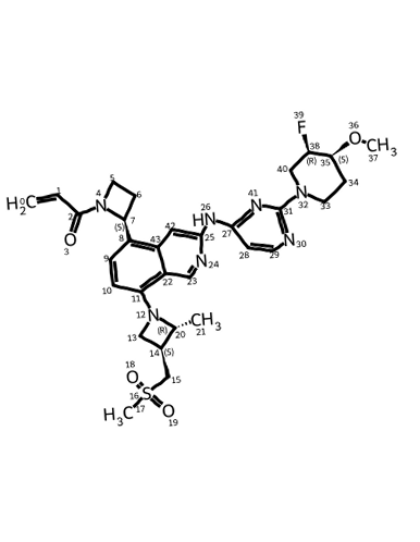 C=CC(=O)N1CC[C@H]1c1ccc(N2C[C@H](CS(C)(=O)=O)[C@H]2C)c2cnc(Nc3ccnc(N4CC[C@H](OC)[C@H](F)C4)n3)cc12